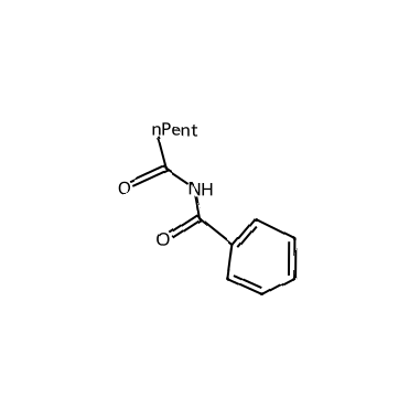 CCCCCC(=O)NC(=O)c1ccccc1